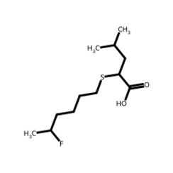 CC(C)CC(SCCCCC(C)F)C(=O)O